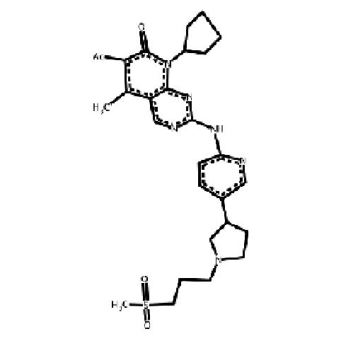 CC(=O)c1c(C)c2cnc(Nc3ccc(C4CCN(CCCS(C)(=O)=O)C4)cn3)nc2n(C2CCCC2)c1=O